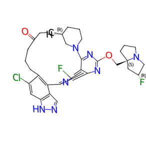 O=C1CCCc2c(Cl)cc3[nH]ncc3c2-c2ncc3c(nc(OC[C@@]45CCCN4C[C@H](F)C5)nc3c2F)N2CCC[C@H](CC1)C2